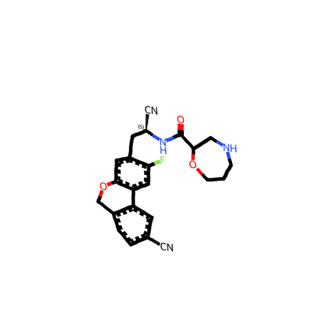 N#Cc1ccc2c(c1)-c1cc(F)c(C[C@@H](C#N)NC(=O)C3CNCCCO3)cc1OC2